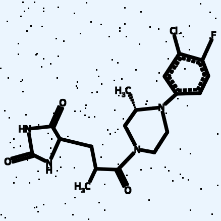 CC(CC1NC(=O)NC1=O)C(=O)N1CCN(c2ccc(F)c(Cl)c2)[C@@H](C)C1